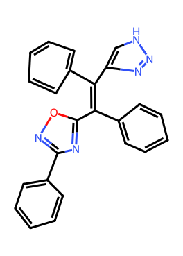 c1ccc(C(=C(c2ccccc2)c2nc(-c3ccccc3)no2)c2c[nH]nn2)cc1